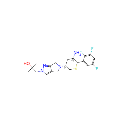 CC(C)(O)Cn1cc2c(n1)CN([C@H]1CSC(c3cc(F)cc(F)c3F)[C@@H](N)C1)C2